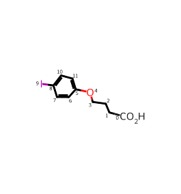 O=C(O)CCCOc1ccc(I)cc1